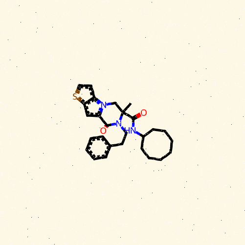 CC1(C(=O)NC2CCCCCCC2)Cn2c(cc3sccc32)C(=O)N1CCc1ccccc1